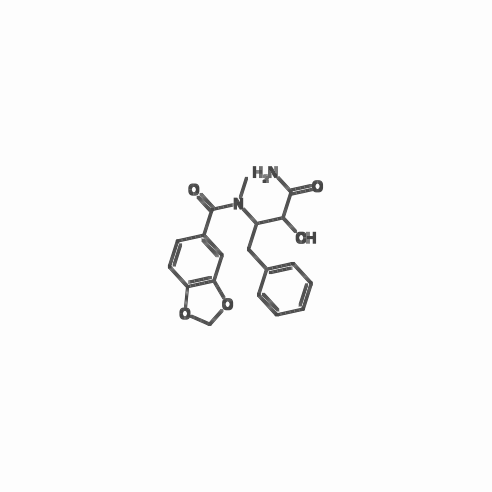 CN(C(=O)c1ccc2c(c1)OCO2)C(Cc1ccccc1)C(O)C(N)=O